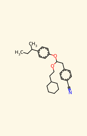 CCC(C)c1ccc(OC(Cc2ccc(C#N)cc2)OCCC2CCCCC2)cc1